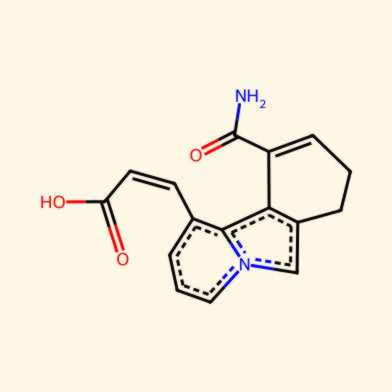 NC(=O)C1=CCCc2cn3cccc(/C=C\C(=O)O)c3c21